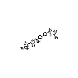 CNC(=O)N[C@H](C(=O)N1CCC[C@H]1c1ncc(-c2ccc(-c3ccc(-c4cnc([C@@H]5CCCN5C(=O)CC(C)C)[nH]4)cc3)cc2)[nH]1)C(C)C